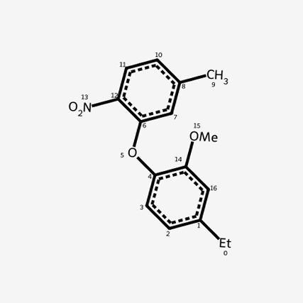 CCc1ccc(Oc2cc(C)ccc2[N+](=O)[O-])c(OC)c1